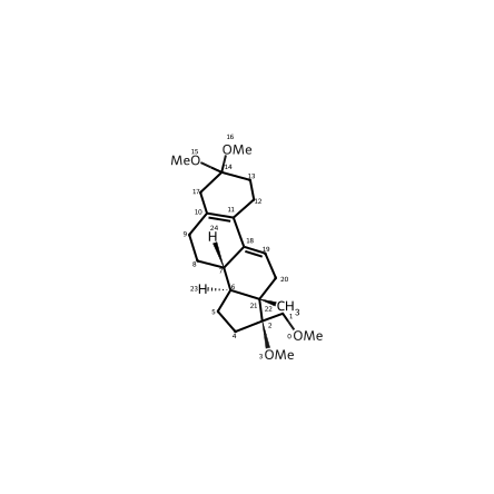 COC[C@]1(OC)CC[C@H]2[C@@H]3CCC4=C(CCC(OC)(OC)C4)C3=CC[C@@]21C